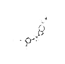 CCOc1ccc(-c2nc(-c3ccc4c(c3)CCN(C(=O)OC(C)(C)C)CC4)no2)cc1C#N